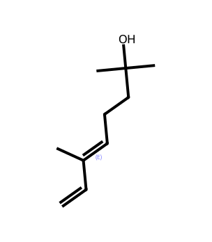 C=C/C(C)=C/CCC(C)(C)O